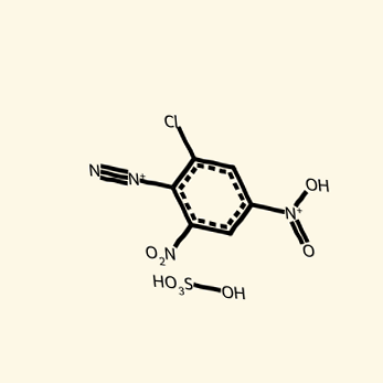 N#[N+]c1c(Cl)cc([N+](=O)O)cc1[N+](=O)[O-].O=S(=O)(O)O